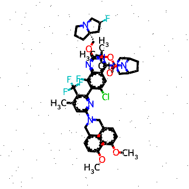 COc1ccc(CN(Cc2ccc(OC)cc2)c2cc(C)c(C(F)(F)F)c(-c3c(Cl)cc4c(N5CC6CCC(C5)N6C(=O)OC(C)(C)C)nc(OC[C@]56CCCN5C[C@@H](F)C6)nc4c3F)n2)cc1